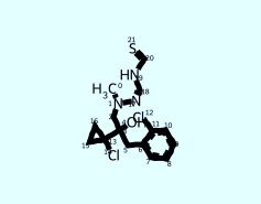 CN(CC(O)(Cc1ccccc1Cl)C1(Cl)CC1)/N=C\NC=S